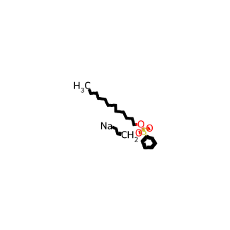 C=C[CH2][Na].CCCCCCCCCCCCOS(=O)(=O)c1ccccc1